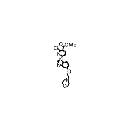 COC(=O)c1ccc(-n2cnc3cc(OCCN4CCOCC4)ccc32)nc1Cl